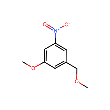 COCc1cc(OC)cc([N+](=O)[O-])c1